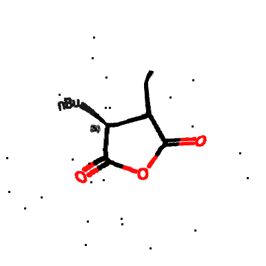 CCCC[C@@H]1C(=O)OC(=O)C1C